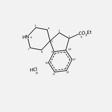 CCOC(=O)C1CC2(CCNCC2)c2ccccc21.Cl